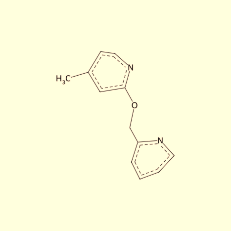 Cc1ccnc(OCc2ccccn2)c1